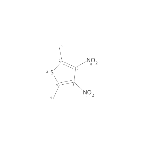 Cc1sc(C)c([N+](=O)[O-])c1[N+](=O)[O-]